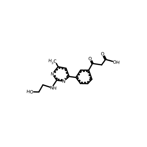 Cc1cc(-c2cccc(C(=O)CC(=O)O)c2)nc(NCCO)n1